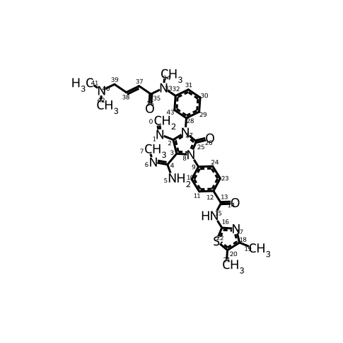 C=Nc1c(/C(N)=N\C)n(-c2ccc(C(=O)Nc3nc(C)c(C)s3)cc2)c(=O)n1-c1cccc(N(C)C(=O)/C=C/CN(C)C)c1